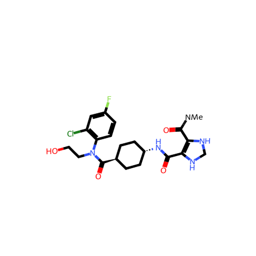 CNC(=O)C1=C(C(=O)N[C@H]2CC[C@H](C(=O)N(CCO)c3ccc(F)cc3Cl)CC2)NCN1